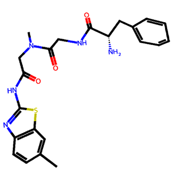 Cc1ccc2nc(NC(=O)CN(C)C(=O)CNC(=O)[C@@H](N)Cc3ccccc3)sc2c1